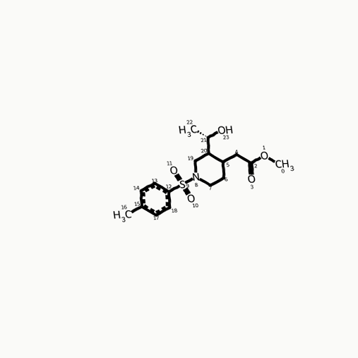 COC(=O)CC1CCN(S(=O)(=O)c2ccc(C)cc2)CC1[C@H](C)O